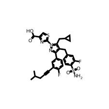 CC(C)CC#Cc1cc(-c2nn(-c3nc(C(=O)O)cs3)c(CC3CC3)c2Cc2ccc(S(N)(=O)=O)c(F)c2)ccc1F